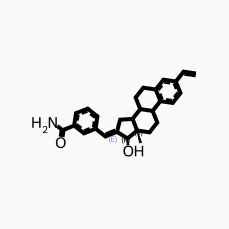 C=Cc1ccc2c(c1)CCC1C2CC[C@@]2(C)C1C/C(=C\c1cccc(C(N)=O)c1)[C@@H]2O